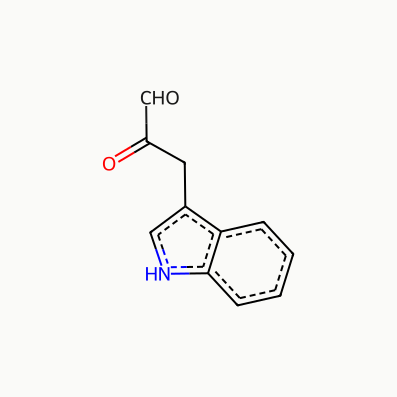 O=CC(=O)Cc1c[nH]c2ccccc12